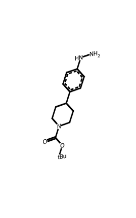 CC(C)(C)OC(=O)N1CCC(c2ccc(NN)cc2)CC1